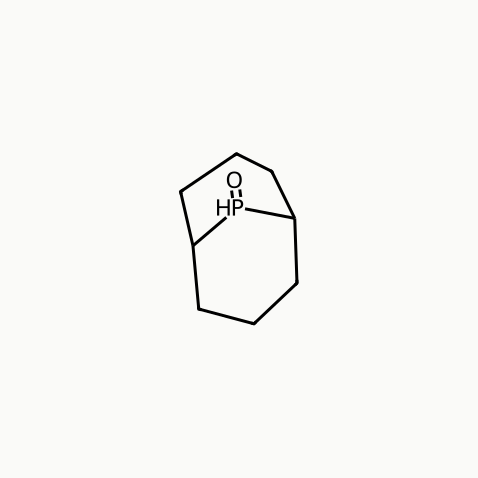 O=[PH]1C2CCCC1CCC2